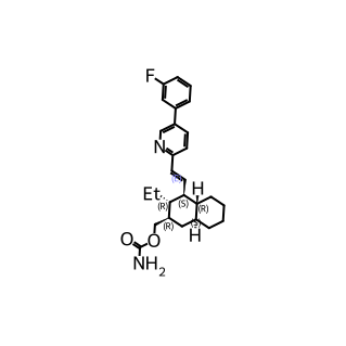 CC[C@H]1[C@H](COC(N)=O)C[C@@H]2CCCC[C@H]2[C@@H]1/C=C/c1ccc(-c2cccc(F)c2)cn1